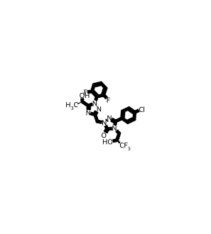 C[C@H](O)c1nc(Cn2nc(-c3ccc(Cl)cc3)n(C[C@H](O)C(F)(F)F)c2=O)nn1-c1c(F)cccc1F